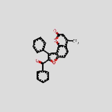 O=C(c1ccccc1)c1oc2ccc3c(C(F)(F)F)cc(=O)oc3c2c1-c1ccccc1